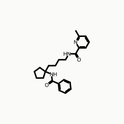 Cc1cccc(C(=O)NCCCCC2(NC(=O)c3ccccc3)CCCC2)n1